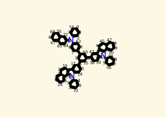 c1ccc(N(c2ccc(-c3cc(-c4ccc5c(c4)c4ccc6ccccc6c4n5-c4ccccc4)cc(-c4ccc5c(c4)c4ccc6ccccc6c4n5-c4ccccc4)c3)cc2)c2ccc3ccccc3c2)cc1